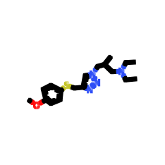 CCN(CC)CC(C)Cn1cc(CSc2ccc(OC)cc2)nn1